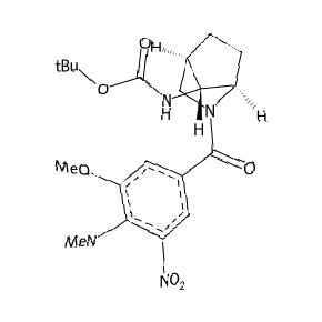 CNc1c(OC)cc(C(=O)N2C[C@H]3CC[C@@H]2[C@@H]3NC(=O)OC(C)(C)C)cc1[N+](=O)[O-]